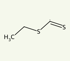 CCS[C]=S